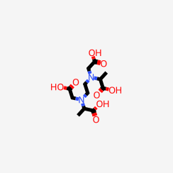 CC(C(=O)O)N(CCN(CC(=O)O)C(C)C(=O)O)CC(=O)O